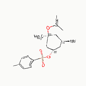 Cc1ccc(S(=O)(=O)O[C@H]2C[C@H](C(C)(C)C)C[C@@](O[SiH](C)C)(C(=O)O)C2)cc1